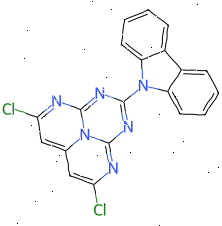 ClC1=CC2=CC(Cl)=NC3=NC(n4c5ccccc5c5ccccc54)=NC(=N1)N23